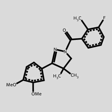 COc1ccc(C2=NN(C(=O)c3cccc(F)c3C)CC2(C)C)cc1OC